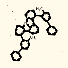 Cc1ccc(-c2ccccc2)cc1-c1cccc2c1c1cccc3c4c(-c5cc(-c6ccccc6)ccc5C)cccc4n2c13